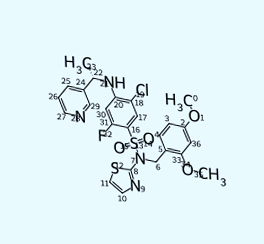 COc1ccc(CN(c2nccs2)S(=O)(=O)c2cc(Cl)c(N[C@@H](C)c3cccnc3)cc2F)c(OC)c1